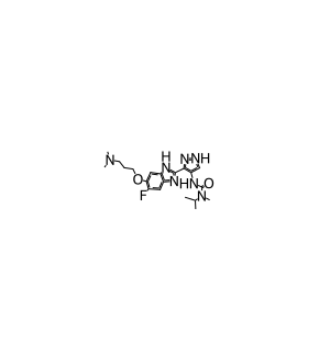 CC(C)N(C)C(=O)Nc1c[nH]nc1-c1nc2cc(F)c(OCCCN(C)C)cc2[nH]1